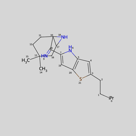 CC(C)CCc1cc2[nH]c(C(=N)C34CCC(C)(C)CC3N4)cc2s1